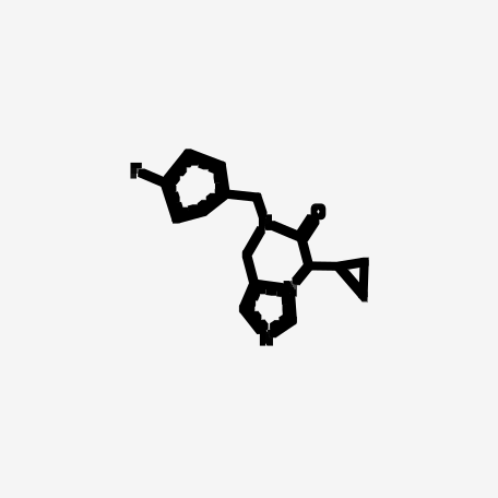 O=C1C(C2CC2)n2cncc2CN1Cc1ccc(F)cc1